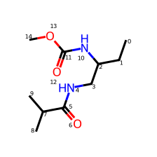 CCC(CNC(=O)C(C)C)NC(=O)OC